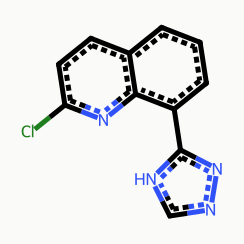 Clc1ccc2cccc(-c3nnc[nH]3)c2n1